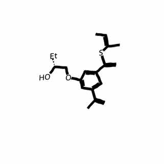 C=C(C)c1cc(OC[C@H](O)CC)cc(C(=C)S/C(C)=C\C)c1